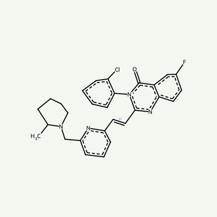 CC1CCCCN1Cc1cccc(/C=C/c2nc3ccc(F)cc3c(=O)n2-c2ccccc2Cl)n1